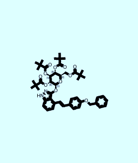 CC(C)(C)C(=O)OC[C@H]1O[C@@H](Oc2n[nH]c3cccc(C=Cc4ccc(OCc5ccccc5)cc4)c23)[C@H](OC(=O)C(C)(C)C)[C@@H](OC(=O)C(C)(C)C)[C@@H]1OC(=O)C(C)(C)C